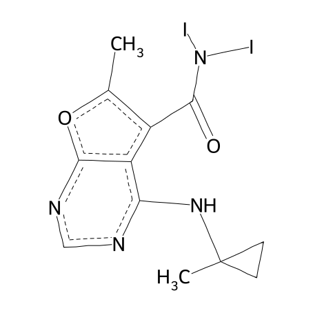 Cc1oc2ncnc(NC3(C)CC3)c2c1C(=O)N(I)I